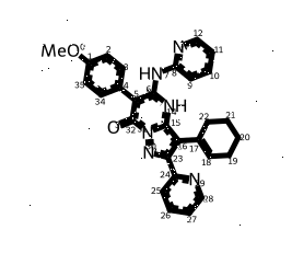 COc1ccc(-c2c(Nc3ccccn3)[nH]c3c(C4=CCCCC4)c(-c4ccccn4)nn3c2=O)cc1